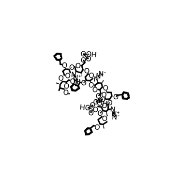 CO[C@H]1OC(CO)[C@@H](O[C@H]2C[C@H](OCc3ccccc3)[C@H](O[C@H]3OC(COS(=O)(=O)O)[C@H](O[C@H]4C[C@H](OCc5ccccc5)[C@H](O[C@H]5OC(COS(=O)(=O)O)[C@@H](O[C@H]6C[C@H](OCc7ccccc7)[C@H](O[C@@H]7OC(COS(=O)(=O)O)[C@H](O[C@H]8C[C@H](OCc9ccccc9)[C@H](C)CO8)[C@H](C)C7N=[N+]=[N-])CO6)[C@H](C)C5N=[N+]=[N-])CO4)[C@H](C)C3N=[N+]=[N-])CO2)[C@H](C)C1C